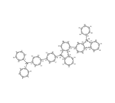 c1ccc(N(c2ccccc2)c2ccc(-c3ccc(-n4c5ccccc5c5c(-c6ccc7c8ccccc8n(-c8ccccc8)c7c6)cccc54)cc3)cc2)cc1